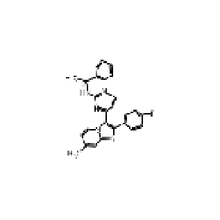 Cc1ccn2c(-c3ccnc(N[C@@H](C)c4ccccc4)n3)c(-c3ccc(F)cc3)nc2c1